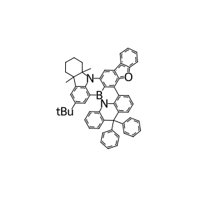 CC(C)(C)c1cc2c3c(c1)C1(C)CCCCC1(C)N3c1cc3c(oc4ccccc43)c3c1B2N1c2ccccc2C(c2ccccc2)(c2ccccc2)c2cccc-3c21